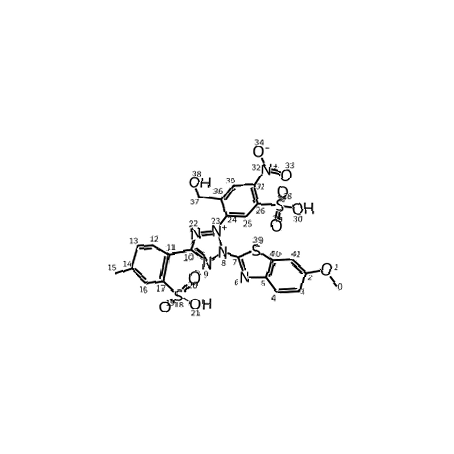 COc1ccc2nc(-n3nc(-c4ccc(C)cc4S(=O)(=O)O)n[n+]3-c3cc(S(=O)(=O)O)c([N+](=O)[O-])cc3CO)sc2c1